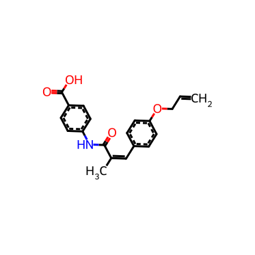 C=CCOc1ccc(C=C(C)C(=O)Nc2ccc(C(=O)O)cc2)cc1